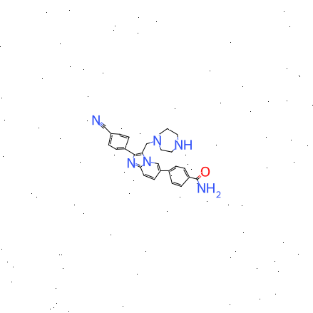 N#Cc1ccc(-c2nc3ccc(-c4ccc(C(N)=O)cc4)cn3c2CN2CCCNCC2)cc1